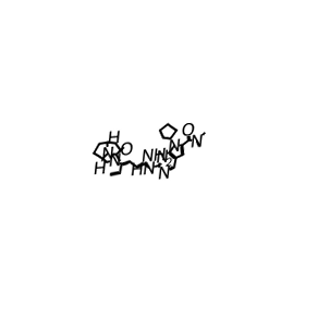 C=C/C(=C\C=C(/N)Nc1ncc2cc(C(=O)N(C)C)n(C3CCCC3)c2n1)N1C[C@@H]2CC[C@H](CC1=O)N2C(C)C